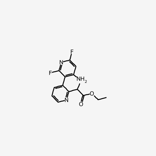 CCOC(=O)C(C)c1ncccc1-c1c(N)cc(F)nc1F